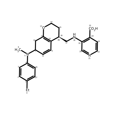 CCc1ccc(N(C)C2C=CC3=C(C2)OCC[C@H]3CNc2cnccc2C(=O)O)cc1